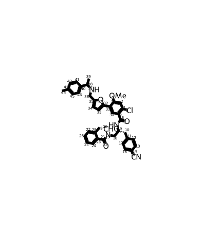 COc1cc(Cl)c(C(=O)N[C@H](Cc2ccc(C#N)cc2)CN(C=O)C(=O)c2ccccc2C)cc1-c1ccc(CNC(C)c2ccc(C)cc2)o1